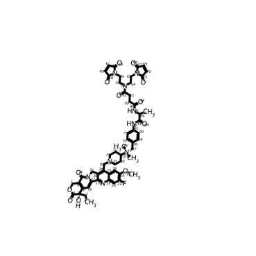 CC[C@@]1(O)C(=O)OCc2c1cc1n(c2=O)Cc2c-1nc1cc(F)c(OC)cc1c2CN1CCC([N+](C)(C)Cc2ccc(NC(=O)C(C)NC(=O)CCC(=O)N(CCN3C(=O)C=CC3=O)CCN3C(=O)C=CC3=O)cc2)CC1